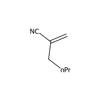 [CH2]CCCC(=C)C#N